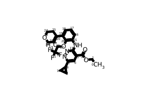 CCOC(=O)c1cc(C2CC2)nnc1Nc1cccc(C2=CCOCC2)c1O[C@@H](C)C(F)(F)F